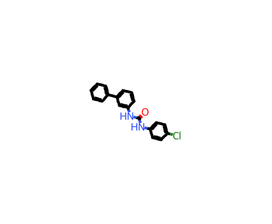 O=C(Nc1ccc(Cl)cc1)Nc1cccc(-c2ccccc2)c1